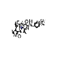 C=C(/N=C1\C(=C(C)C)N=C(NCc2ccc([S+](C)[O-])nc2)C(=O)N1[C@@H](C)C(F)(F)F)c1c(OC)ncnc1C1CC1